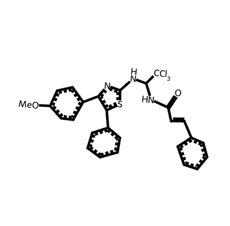 COc1ccc(-c2nc(NC(NC(=O)/C=C/c3ccccc3)C(Cl)(Cl)Cl)sc2-c2ccccc2)cc1